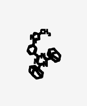 Cc1cnn(-c2cccc(-c3nc(C45CC6CC(CC(C6)C4)C5)nc(C45CC6CC(CC(C6)C4)C5)n3)c2)c1